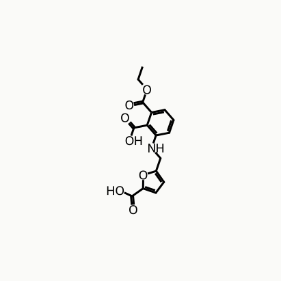 CCOC(=O)c1cccc(NCc2ccc(C(=O)O)o2)c1C(=O)O